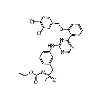 CCOC(=O)N=S(C)(=O)Cc1cccc(Nc2ncnc(-c3ccccc3OCc3ccc(Cl)c(Cl)c3)n2)c1